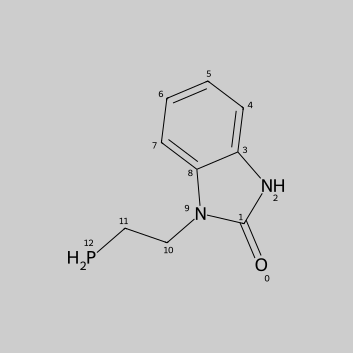 O=c1[nH]c2ccccc2n1CCP